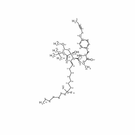 CC#CCOc1ccc(C[C@H](NC(=O)[C@@H](/C=C/CCCCCCC(F)(F)CCCCCCC)[C@@](O)(CCOC)C(=O)OC(C)(C)C)C(=O)OC)cc1